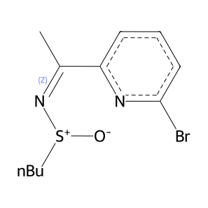 CCCC[S+]([O-])/N=C(/C)c1cccc(Br)n1